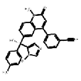 C#Cc1cccc(-c2cc(=O)n(C)c3ccc([C@](O)(c4ccc(C)cc4)c4cncn4C)cc23)c1